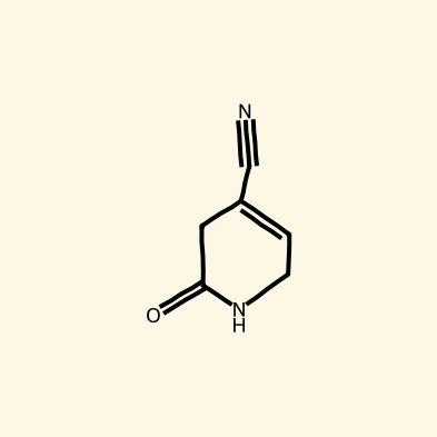 N#CC1=CCNC(=O)C1